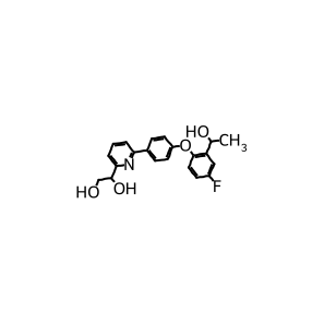 CC(O)c1cc(F)ccc1Oc1ccc(-c2cccc(C(O)CO)n2)cc1